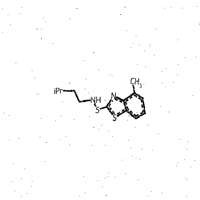 Cc1cccc2sc(SNCCC(C)C)nc12